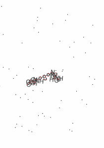 COC(=O)N[C@H](C(=O)N1CCC[C@H]1c1ncc(-c2ccc(-c3ccc(-c4ccc(-c5cnc([C@@H]6CCCN6C(=O)[C@@H](NC(=O)OC)C(C)C)[nH]5)cc4)c4c3C=C=C=C4)cc2)[nH]1)C(C)C